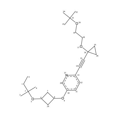 CCC(C)(C)OC1CC(Oc2ccc(C#CC3(OCCOC(C)(C)C)CC3)nc2)C1